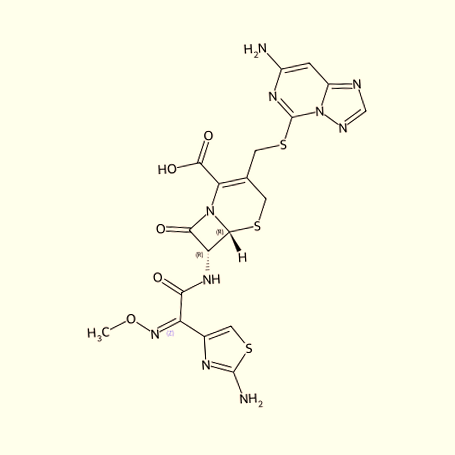 CO/N=C(\C(=O)N[C@@H]1C(=O)N2C(C(=O)O)=C(CSc3nc(N)cc4ncnn34)CS[C@H]12)c1csc(N)n1